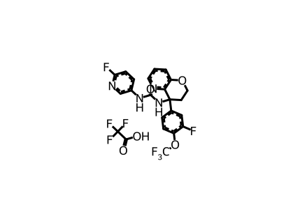 O=C(Nc1ccc(F)nc1)NC1(c2ccc(OC(F)(F)F)c(F)c2)CCOc2cccnc21.O=C(O)C(F)(F)F